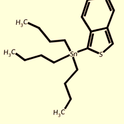 CCC[CH2][Sn]([CH2]CCC)([CH2]CCC)[c]1scc2ccccc12